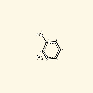 CCCC[n+]1ccccc1.N